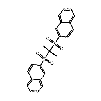 CC(C)(S(=O)(=O)c1ccc2ccccc2c1)S(=O)(=O)c1ccc2ccccc2c1